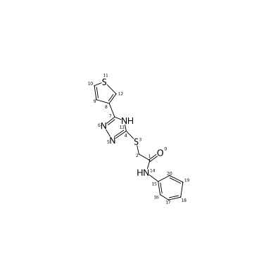 O=C(CSc1nnc(-c2ccsc2)[nH]1)Nc1ccccc1